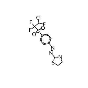 O=S(=O)(c1ccc(N=NC2=NCCS2)cc1)C(F)(F)C(F)Cl